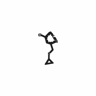 Clc1ccnc(CSC2CC2)c1